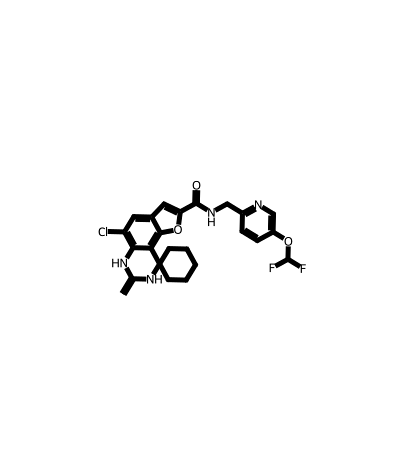 C=C1Nc2c(Cl)cc3cc(C(=O)NCc4ccc(OC(F)F)cn4)oc3c2C2(CCCCC2)N1